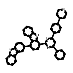 c1ccc(-c2cc(-c3ccc(-c4ccncc4)cc3)nc(-c3ccc(-c4ccc5sc6ccccc6c5c4)c4c3oc3ccccc34)n2)cc1